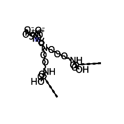 C#CC#CC#CC#CC(CC(=O)NCCCOCCOCCOCCN(CCOCCOCCCNC(=O)CC(C#CC#CC#CC#C)C(=O)O)c1ccc(/N=N/c2sc([N+](=O)[O-])cc2[N+](=O)[O-])c(C)c1)C(=O)O